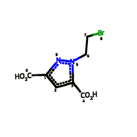 O=C(O)c1cc(C(=O)O)n(CCBr)n1